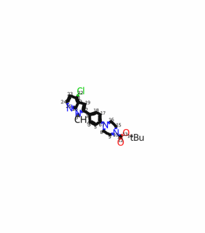 Cn1c(-c2ccc(N3CCN(C(=O)OC(C)(C)C)CC3)cc2)cc2c(Cl)ccnc21